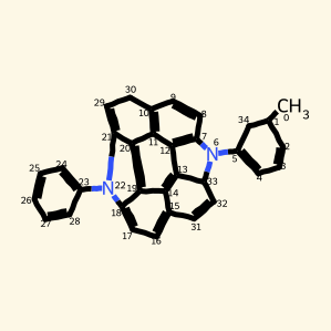 CC1C=CC=C(N2c3ccc4c5c3c3c6c(ccc7c6c5c(n7-c5ccccc5)=CC4)C=CC32)C1